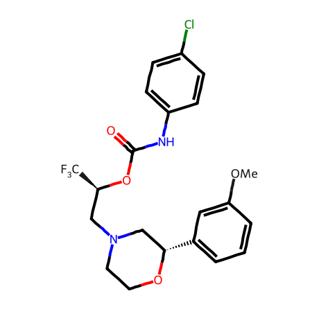 COc1cccc([C@H]2CN(C[C@H](OC(=O)Nc3ccc(Cl)cc3)C(F)(F)F)CCO2)c1